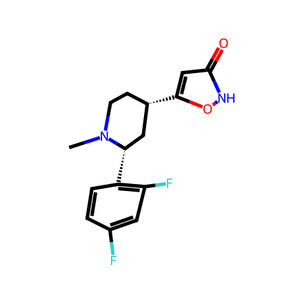 CN1CC[C@H](c2cc(=O)[nH]o2)C[C@@H]1c1ccc(F)cc1F